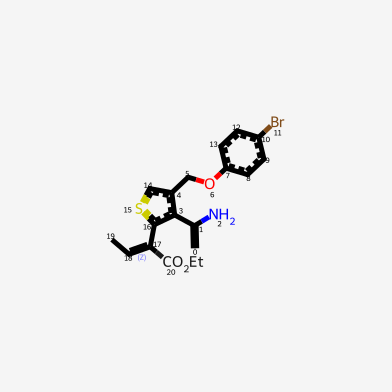 C=C(N)c1c(COc2ccc(Br)cc2)csc1/C(=C\C)C(=O)OCC